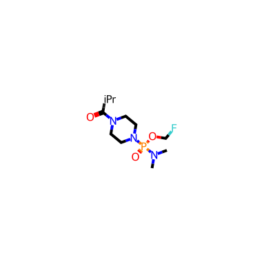 CC(C)C(=O)N1CCN(P(=O)(OCF)N(C)C)CC1